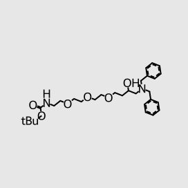 CC(C)(C)OC(=O)NCCOCCOCCOCCC(O)CN(Cc1ccccc1)Cc1ccccc1